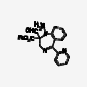 CCOC(=O)C1(C=O)CN=C(c2ccccn2)c2ccccc2N1N